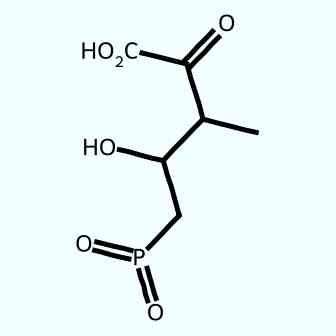 CC(C(=O)C(=O)O)C(O)CP(=O)=O